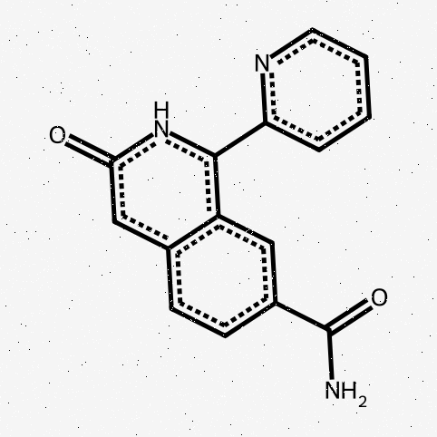 NC(=O)c1ccc2cc(=O)[nH]c(-c3ccccn3)c2c1